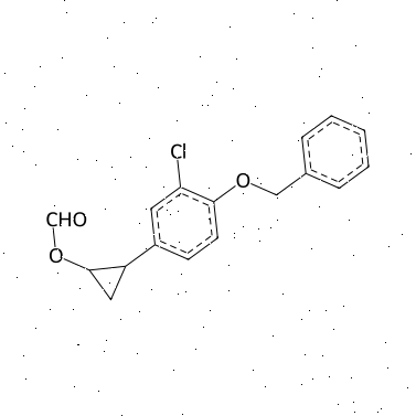 O=COC1CC1c1ccc(OCc2ccccc2)c(Cl)c1